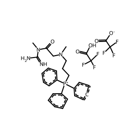 CN(CCC[P+](c1ccccc1)(c1ccccc1)c1ccccc1)CC(=O)N(C)C(=N)N.O=C(O)C(F)(F)F.O=C([O-])C(F)(F)F